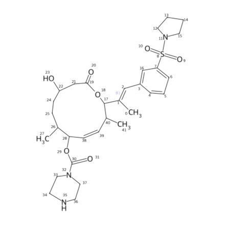 C/C(=C\c1cccc(S(=O)(=O)N2CCCC2)c1)C1OC(=O)CC(O)CCC(C)C(OC(=O)N2CCNCC2)C=CC1C